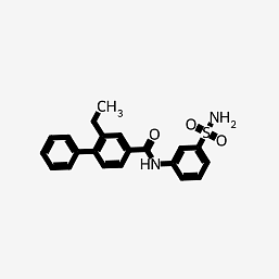 CCc1cc(C(=O)Nc2cccc(S(N)(=O)=O)c2)ccc1-c1ccccc1